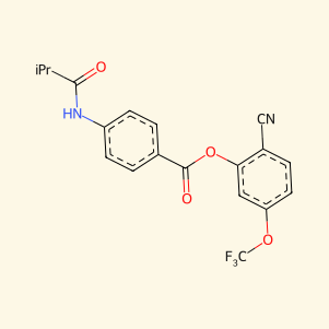 CC(C)C(=O)Nc1ccc(C(=O)Oc2cc(OC(F)(F)F)ccc2C#N)cc1